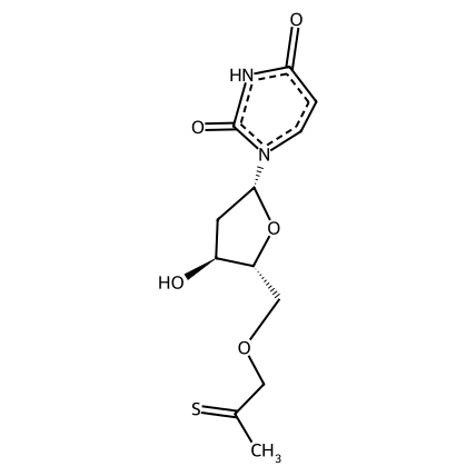 CC(=S)COC[C@H]1O[C@@H](n2ccc(=O)[nH]c2=O)C[C@@H]1O